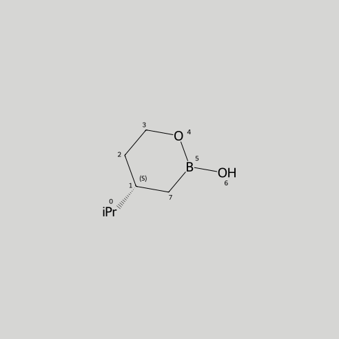 CC(C)[C@@H]1CCOB(O)C1